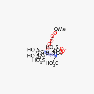 COCCOCCOCCOCCOCCOCC[N+]1=C(/C=C/C=C/C=C2/N(CCCCCC(=O)O)c3ccc4c(S(=O)(=O)[O-])cc(S(=O)(=O)O)cc4c3C2(C)C)C(C)(CCCS(=O)(=O)O)c2c1ccc1c(S(=O)(=O)O)cc(S(=O)(=O)O)cc21